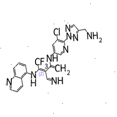 C=C(Nc1cnc(-n2ncc(CN)n2)c(Cl)c1)/C(C=N)=C(/Nc1cccc2ncccc12)C(F)(F)F